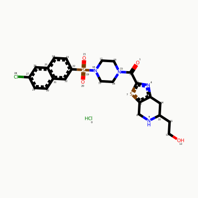 Cl.O=C(c1nc2c(s1)CNC(CCO)C2)N1CCN(S(=O)(=O)c2ccc3cc(Cl)ccc3c2)CC1